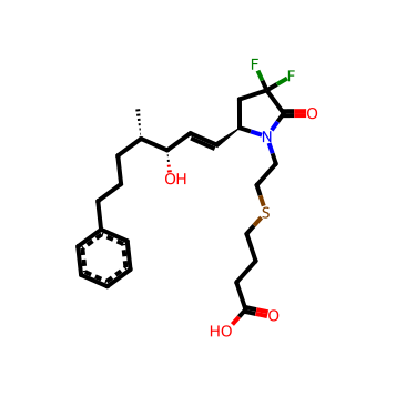 C[C@@H](CCCc1ccccc1)[C@@H](O)C=C[C@H]1CC(F)(F)C(=O)N1CCSCCCC(=O)O